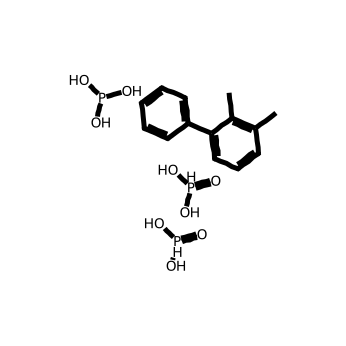 Cc1cccc(-c2ccccc2)c1C.O=[PH](O)O.O=[PH](O)O.OP(O)O